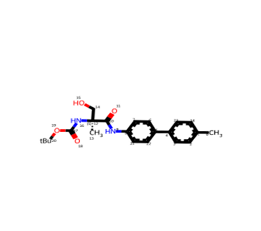 Cc1ccc(-c2ccc(NC(=O)[C@](C)(CO)NC(=O)OC(C)(C)C)cc2)cc1